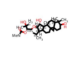 CNC(=O)O[C@@H]([C@H]1C[C@@H](C)[C@H]2[C@H](O1)[C@H](O)[C@@]1(C)C3CC[C@H]4C(C)(C)C(O)CCC45CC35CCC21C)C(C)(C)O